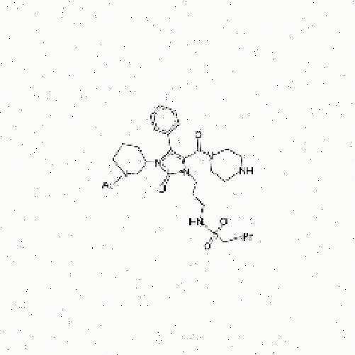 CC(=O)N1CCCC(n2c(-c3ccccc3)c(C(=O)N3CCNCC3)n(CCCNS(=O)(=O)CC(C)C)c2=O)C1